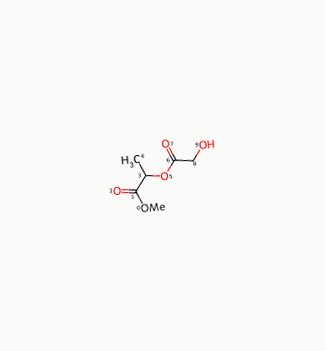 COC(=O)C(C)OC(=O)CO